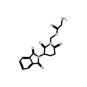 NCC(=O)OCN1C(=O)CCC(N2C(=O)c3ccccc3C2=O)C1=O